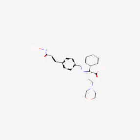 O=C(/C=C/c1ccc(CN[C@](CCN2CCOCC2)(C(=O)O)C2CCCCC2)cc1)NO